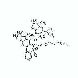 CCCCOCCCN1C(C(C(=O)Nc2cc(C(C)(C)C)cc3c2SCC3(C)C)N2C(=O)OC(C)(C)C2=O)=Nc2ccccc2S1(=O)=O